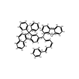 C(=C/C=C/N(c1ccc2c(c1)C(c1ccccc1)(c1ccccc1)c1ccc3ccccc3c1-2)c1cccc2c1oc1ccccc12)/C=C/c1ccccc1